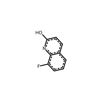 Oc1ccc2cccc(F)c2n1